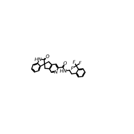 O=C(NCCc1ccccc1C(F)(F)F)c1cc2c(cn1)CC1(C2)C(=O)Nc2ccccc21